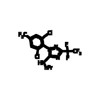 CCCNc1nc(C(F)(F)C(F)(F)F)nn1-c1c(Cl)cc(C(F)(F)F)cc1Cl